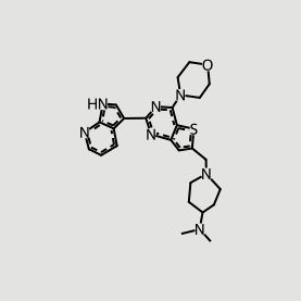 CN(C)C1CCN(Cc2cc3nc(-c4c[nH]c5ncccc45)nc(N4CCOCC4)c3s2)CC1